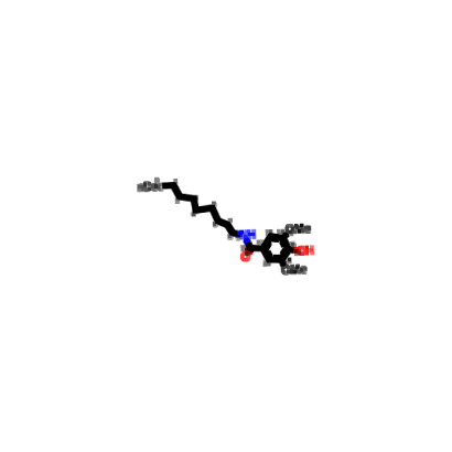 CCCCCCCCCCCCCCCCCCNC(=O)c1cc(OC)c(O)c(OC)c1